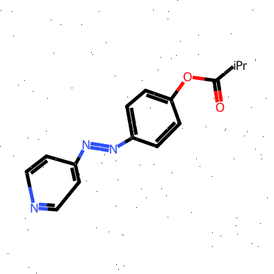 CC(C)C(=O)Oc1ccc(N=Nc2ccncc2)cc1